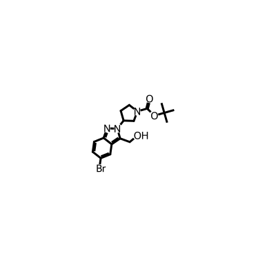 CC(C)(C)OC(=O)N1CCC(n2nc3ccc(Br)cc3c2CO)C1